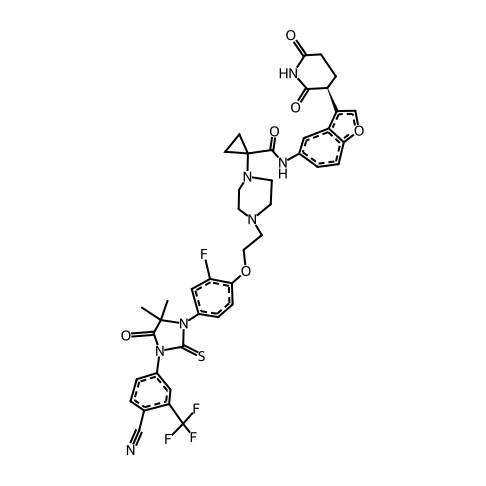 CC1(C)C(=O)N(c2ccc(C#N)c(C(F)(F)F)c2)C(=S)N1c1ccc(OCCN2CCN(C3(C(=O)Nc4ccc5occ([C@@H]6CCC(=O)NC6=O)c5c4)CC3)CC2)c(F)c1